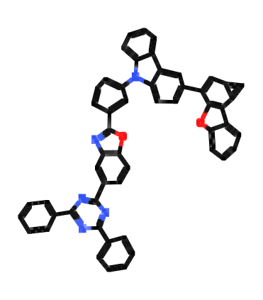 C1=c2cc(-c3ccc4c(c3)c3ccccc3n4-c3cccc(-c4nc5cc(-c6nc(-c7ccccc7)nc(-c7ccccc7)n6)ccc5o4)c3)c3oc4ccccc4c3c2=1